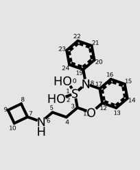 OS1(O)C(CCNC2CCC2)Oc2ccccc2N1c1ccccc1